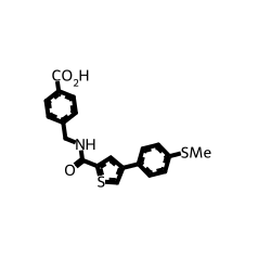 CSc1ccc(-c2csc(C(=O)NCc3ccc(C(=O)O)cc3)c2)cc1